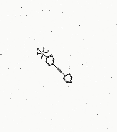 FS(F)(F)(F)(F)c1ccc(C#Cc2ccccc2)cc1